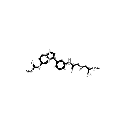 CNC(=O)Oc1ccc2ncc(-c3cccc(NC(=O)COCC(OC)C(C)(C)C)c3)n2c1